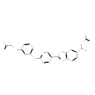 CC(=O)COc1cccc(Oc2ccc(-c3nc4ccc(C(C)OC(N)=O)cc4o3)cn2)c1